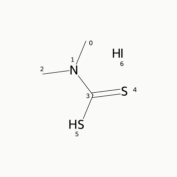 CN(C)C(=S)S.I